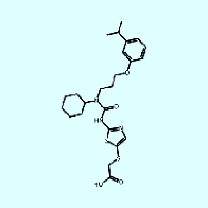 CC(C)c1cccc(OCCCN(C(=O)Nc2ncc(SCC(=O)O)s2)C2CCCCC2)c1